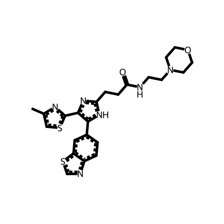 Cc1csc(-c2nc(CCC(=O)NCCN3CCOCC3)[nH]c2-c2ccc3ncsc3c2)n1